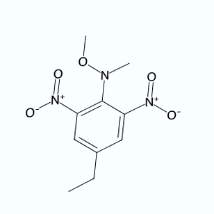 CCc1cc([N+](=O)[O-])c(N(C)OC)c([N+](=O)[O-])c1